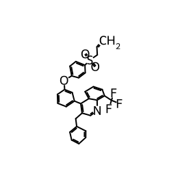 C=CCS(=O)(=O)c1ccc(Oc2cccc(-c3c(Cc4ccccc4)cnc4c(C(F)(F)F)cccc34)c2)cc1